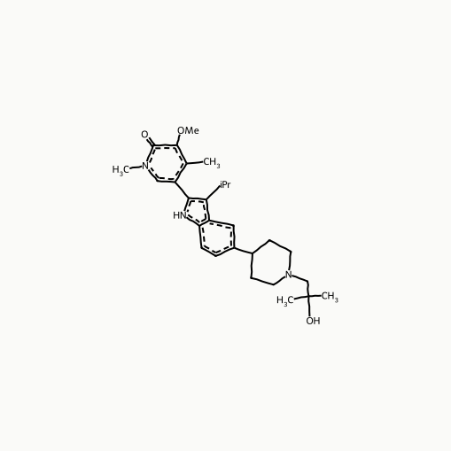 COc1c(C)c(-c2[nH]c3ccc(C4CCN(CC(C)(C)O)CC4)cc3c2C(C)C)cn(C)c1=O